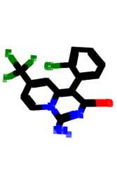 Nc1nc(=O)c(-c2ccccc2Cl)c2cc(C(F)(F)F)ccn12